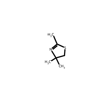 [CH2]C1=NC(C)(C)CS1